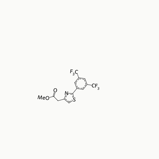 COC(=O)Cc1csc(-c2cc(C(F)(F)F)cc(C(F)(F)F)c2)n1